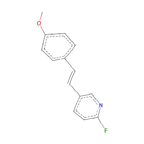 COc1ccc(C=Cc2ccc(F)nc2)cc1